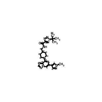 Cn1cc(-c2cn3ncnc3c(N3CCC(CNC(=O)c4nnn(C(C)(C)C)n4)CC3)n2)cn1